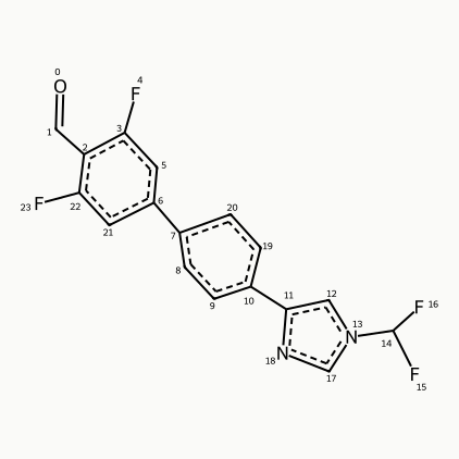 O=Cc1c(F)cc(-c2ccc(-c3cn(C(F)F)cn3)cc2)cc1F